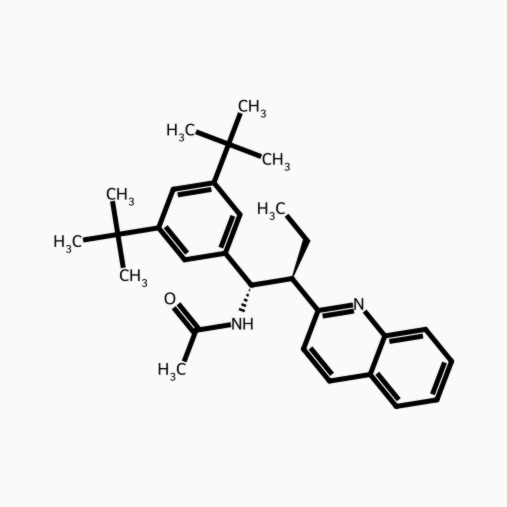 CC[C@@H](c1ccc2ccccc2n1)[C@H](NC(C)=O)c1cc(C(C)(C)C)cc(C(C)(C)C)c1